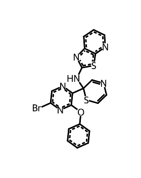 Brc1cnc(C2(Nc3nc4cccnc4s3)C=NC=CS2)c(Oc2ccccc2)n1